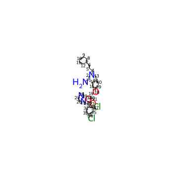 NCCN(C/C=C/c1ccccc1)Cc1ccc(OC[C@@H]2CO[C@@](Cn3ccnc3)(c3ccc(Cl)cc3Cl)O2)cc1